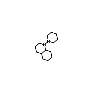 C1CCN(N2CCCC3CCCCC32)CC1